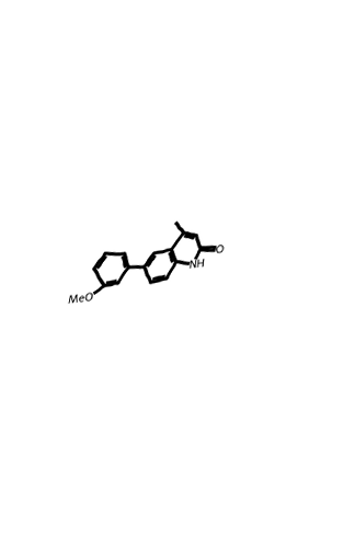 COc1cccc(-c2ccc3[nH]c(=O)cc(C)c3c2)c1